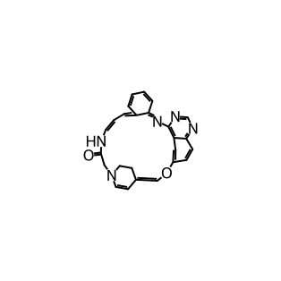 O=C1CN2C=C/C(=C/Oc3ccc4ncnc(c4c3)\N=c3/cccc/c3=C\C=C/N1)CC2